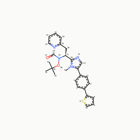 Cn1c(-c2ccc(-c3cccs3)cc2)cnc1[C@H](Cc1ccccn1)N(C=O)OC(C)(C)C